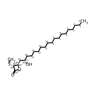 CCCCCCCCCCCCCCCCC[C@H](O)C[C@H]1OC(=O)[C@@H]1SC